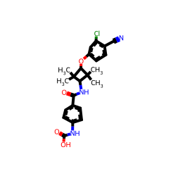 CC1(C)C(NC(=O)c2ccc(NC(=O)O)cc2)C(C)(C)C1Oc1ccc(C#N)c(Cl)c1